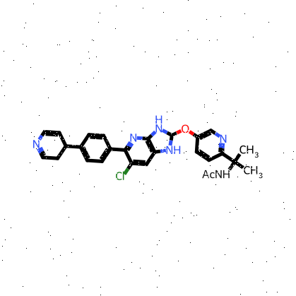 CC(=O)NC(C)(C)c1ccc(OC2Nc3cc(Cl)c(-c4ccc(C5C=CN=CC5)cc4)nc3N2)cn1